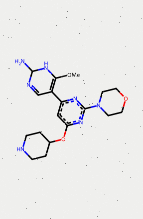 COC1=C(c2cc(OC3CCNCC3)nc(N3CCOCC3)n2)C=NC(N)N1